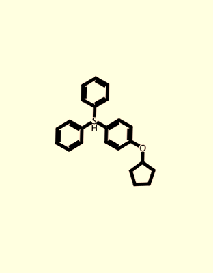 c1ccc([SH](c2ccccc2)c2ccc(OC3CCCC3)cc2)cc1